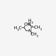 CC(O)CN(C)P(C)C